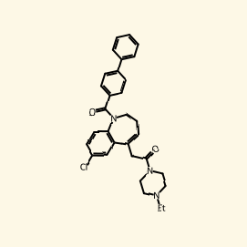 CCN1CCN(C(=O)CC2=CCCN(C(=O)c3ccc(-c4ccccc4)cc3)c3ccc(Cl)cc32)CC1